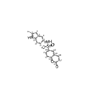 Cc1cc2cc(NS(=O)(=O)c3ccc4oc(=O)ccc4c3)ccc2[nH]1